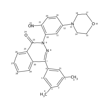 Cc1cc(C)cc(-c2nn(-c3cc(N4CCOCC4)ccc3N=O)c(=O)c3ccccc23)c1